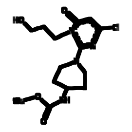 CC(C)(C)OC(=O)NC1CCN(c2nc(Cl)cc(=O)n2CCCO)CC1